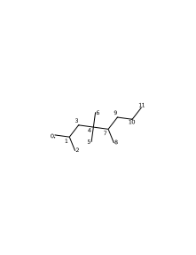 [CH2]C(C)CC(C)(C)C(C)CCC